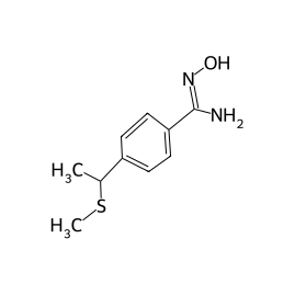 CSC(C)c1ccc(C(N)=NO)cc1